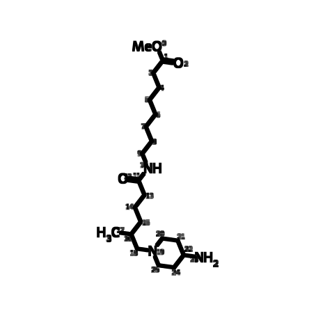 COC(=O)CCCCCCCNC(=O)CCCC(C)CN1CCC(N)CC1